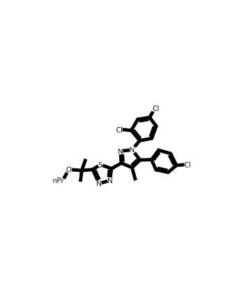 CCCOC(C)(C)c1nnc(-c2nn(-c3ccc(Cl)cc3Cl)c(-c3ccc(Cl)cc3)c2C)s1